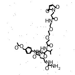 CC(=O)OCc1ccc(NC(=O)[C@H](CCCNC(N)=O)NC(=O)C(NC(=O)CCOCCOCCNC(=O)CCN2C(=O)C=CC2=O)C(C)C)cc1